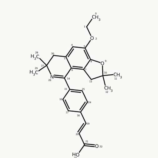 CCOc1cc2c(c3c1OC(C)(C)C3)C(c1ccc(C=CC(=O)O)cc1)=NC(C)(C)C2